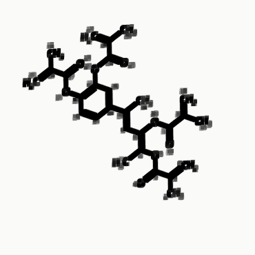 C=C(C)C(=O)O/C(C)=C(/C=C(\C)c1ccc(OC(=O)C(=C)C)c(OC(=O)C(=C)C)c1)OC(=O)C(=C)C